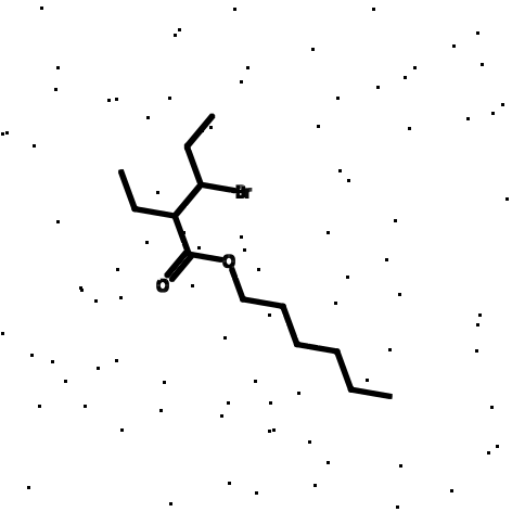 CCCCCCOC(=O)C(CC)C(Br)CC